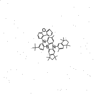 Cc1cc2c3c(c1)N(c1cccc4oc5ccccc5c14)c1cc(C(C)(C)C)ccc1B3c1cc3c(cc1N2c1cc2c(cc1C)C(C)(C)CCC2(C)C)C(C)(C)CC3(C)C